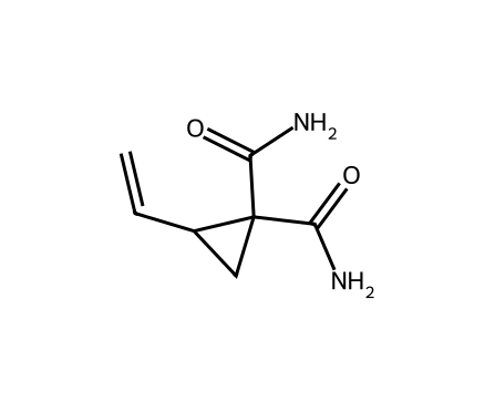 C=CC1CC1(C(N)=O)C(N)=O